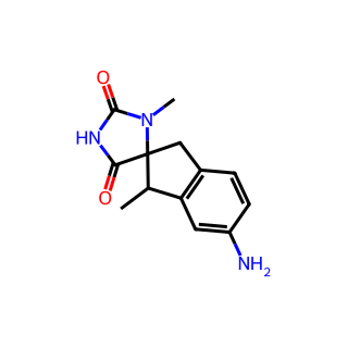 CC1c2cc(N)ccc2CC12C(=O)NC(=O)N2C